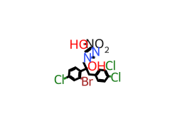 O=[N+]([O-])O.OC(Cc1ccc(Cl)c(Cl)c1)(Cn1ccnc1)c1ccc(Cl)cc1Br